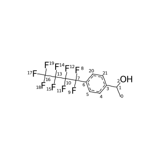 CC(O)c1ccc(C(F)(F)C(F)(F)C(F)(F)C(F)(F)F)cc1